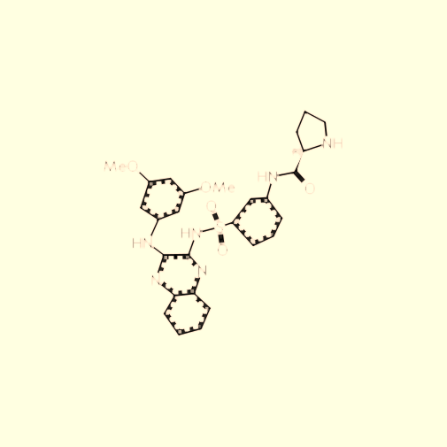 COc1cc(Nc2nc3ccccc3nc2NS(=O)(=O)c2cccc(NC(=O)[C@H]3CCCN3)c2)cc(OC)c1